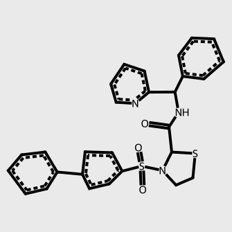 O=C(NC(c1ccccc1)c1ccccn1)C1SCCN1S(=O)(=O)c1ccc(-c2ccccc2)cc1